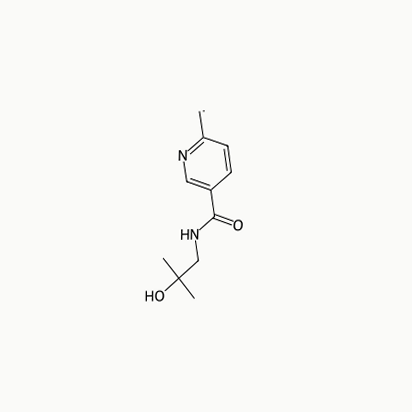 [CH2]c1ccc(C(=O)NCC(C)(C)O)cn1